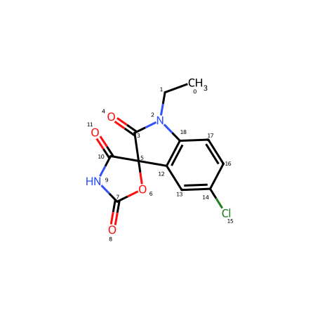 CCN1C(=O)C2(OC(=O)NC2=O)c2cc(Cl)ccc21